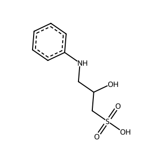 O=S(=O)(O)CC(O)CNc1ccccc1